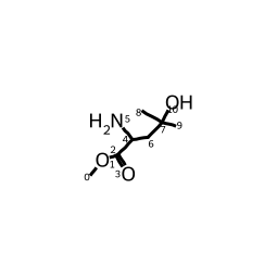 COC(=O)C(N)CC(C)(C)O